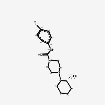 O=C(O)[C@@H]1CCCC[C@H]1N1CCN(C(=O)Nc2ccc(F)cc2)CC1